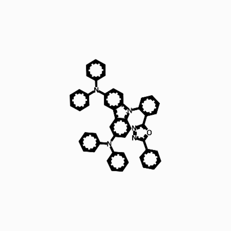 c1ccc(-c2nnc(-c3ccccc3-n3c4ccc(N(c5ccccc5)c5ccccc5)cc4c4cc(N(c5ccccc5)c5ccccc5)ccc43)o2)cc1